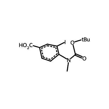 CN(C(=O)OC(C)(C)C)c1ccc(C(=O)O)cc1I